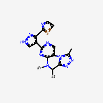 CCC1c2nnc(C)n2-c2cnc(-c3c[nH]nc3-c3nccs3)nc2N1C(C)C